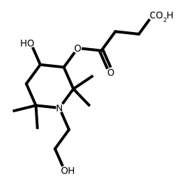 CC1(C)CC(O)C(OC(=O)CCC(=O)O)C(C)(C)N1CCO